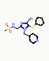 CC(C)c1nc(CNS(C)(=O)=O)n(Cc2ccncc2)c1Sc1ccccc1